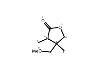 COCC1(C)COC(=O)N1C